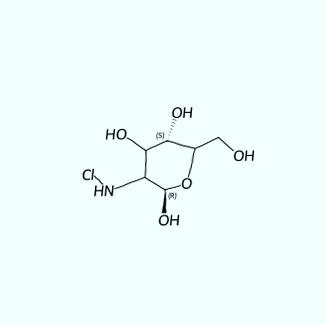 OCC1O[C@@H](O)C(NCl)C(O)[C@@H]1O